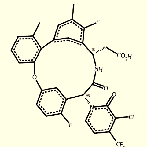 Cc1cc2cc(c1F)[C@H](CC(=O)O)NC(=O)[C@H](n1ccc(C(F)(F)F)c(Cl)c1=O)c1cc(ccc1F)Oc1cccc(C)c1-2